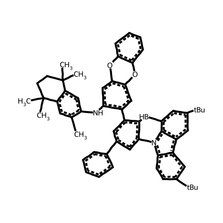 Cc1cc2c(cc1Nc1cc3c(cc1-c1cc(-c4ccccc4)cc4c1Bc1cc(C(C)(C)C)cc5c6cc(C(C)(C)C)ccc6n-4c15)Oc1ccccc1O3)C(C)(C)CCC2(C)C